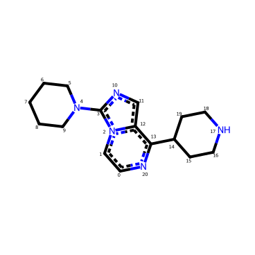 c1cn2c(N3CCCCC3)ncc2c(C2CCNCC2)n1